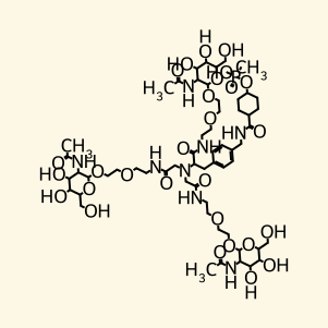 CC(=O)NC1C(OCCOCCNC(=O)CN(CC(=O)NCCOCCOC2OC(CO)C(O)C(O)C2NC(C)=O)C(Cc2ccc(CNC(=O)C3CCC(OP(C)(=O)O)CC3)cc2)C(=O)NCCOCCOC2OC(CO)C(O)C(O)C2NC(C)=O)OC(CO)C(O)C1O